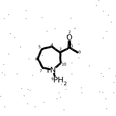 CC(=O)C1CCCCN(P)C1